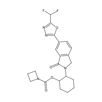 O=C(OC1CCCCC1N1Cc2ccc(-c3nnc(C(F)F)o3)cc2C1=O)N1CCC1